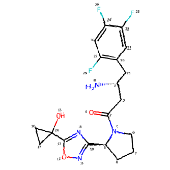 N[C@@H](CC(=O)N1CCC[C@H]1c1noc(C2(O)CC2)n1)Cc1cc(F)c(F)cc1F